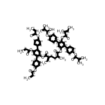 C=CC(=O)Oc1ccc(-c2cc(OC(=O)/C(=C\C)CCC(=C)C(=O)Oc3cc(-c4ccc(OC(O)C(=C)C)cc4)c(OC(=O)/C(C)=C/C)cc3-c3ccc(OC(=O)C(=C)C)cc3)c(-c3ccc(OC(=O)C=C)cc3)cc2OC(=O)C=C)cc1